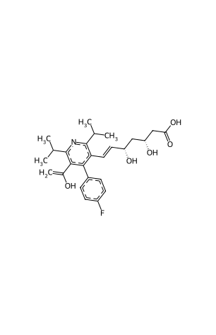 C=C(O)c1c(C(C)C)nc(C(C)C)c(/C=C/[C@@H](O)C[C@@H](O)CC(=O)O)c1-c1ccc(F)cc1